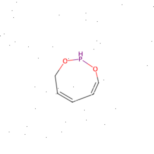 C1=CCOPOC=C1